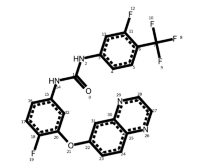 O=C(Nc1ccc(C(F)(F)F)c(F)c1)Nc1ccc(F)c(Oc2ccc3nccnc3c2)c1